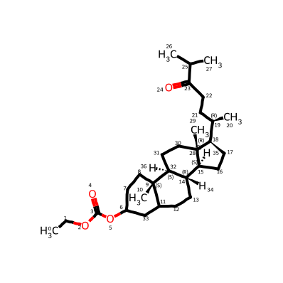 CCOC(=O)OC1CC[C@@]2(C)C(CC[C@H]3[C@@H]4CC[C@H]([C@H](C)CCC(=O)C(C)C)[C@@]4(C)CC[C@@H]32)C1